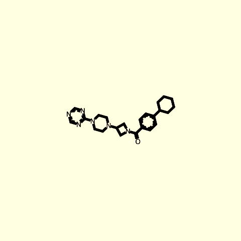 O=C(c1ccc(C2CCCCC2)cc1)N1CC(N2CCN(c3ncncn3)CC2)C1